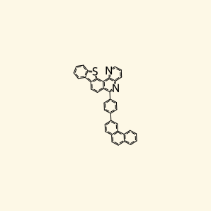 c1ccc2c(c1)ccc1ccc(-c3ccc(-c4nc5cccnc5c5c4ccc4c6ccccc6sc45)cc3)cc12